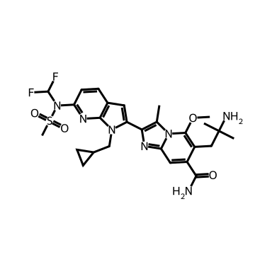 COc1c(CC(C)(C)N)c(C(N)=O)cc2nc(-c3cc4ccc(N(C(F)F)S(C)(=O)=O)nc4n3CC3CC3)c(C)n12